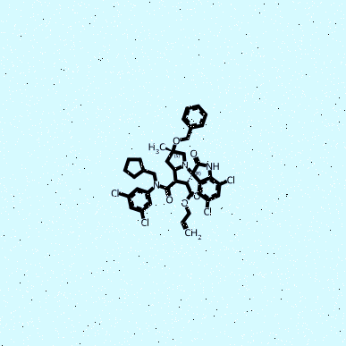 C=CCOC(=O)C1C(C(=O)N(CC2CCCC2)c2cc(Cl)cc(Cl)c2)C2C[C@](C)(OCc3ccccc3)CN2[C@]12C(=O)Nc1c(Cl)cc(Cl)cc12